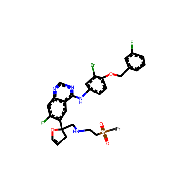 CC(C)S(=O)(=O)CCNCC1(c2cc3c(Nc4ccc(OCc5cccc(F)c5)c(Br)c4)ncnc3cc2F)CC=CO1